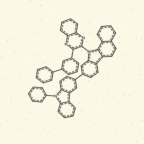 c1ccc(-c2cccc(-c3nc4ccccc4nc3-n3c4cc(-c5ccc6c(c5)c5ccccc5n6-c5ccccc5)ccc4c4ccc5ccccc5c43)c2)cc1